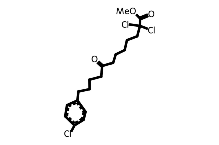 COC(=O)C(Cl)(Cl)CCCCCC(=O)CCCCc1ccc(Cl)cc1